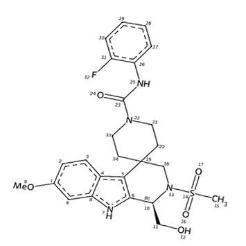 COc1ccc2c3c([nH]c2c1)[C@H](CO)N(S(C)(=O)=O)CC31CCN(C(=O)Nc2ccccc2F)CC1